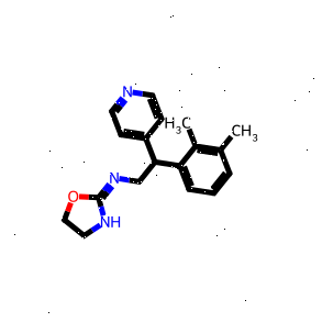 Cc1cccc(C(CN=C2NCCO2)c2ccncc2)c1C